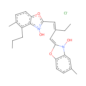 CCCc1c(C)ccc2oc(C=C(C=C3Oc4ccc(C)cc4N3O)CC)[n+](O)c12.[Cl-]